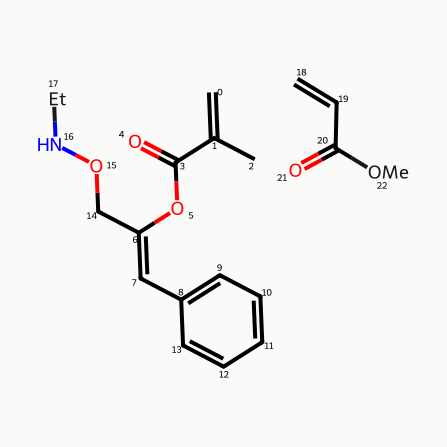 C=C(C)C(=O)OC(=Cc1ccccc1)CONCC.C=CC(=O)OC